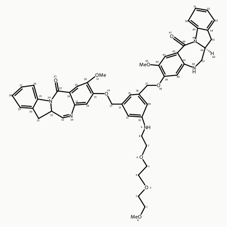 COCCOCCOCCNc1cc(COc2cc3c(cc2OC)C(=O)N2c4ccccc4CC2C=N3)cc(COc2cc3c(cc2OC)C(=O)N2c4ccccc4C[C@H]2CN3)c1